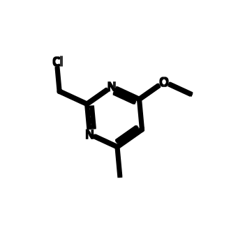 COc1cc(C)nc(CCl)n1